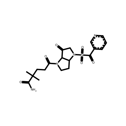 CC(C)(C[CH]C(=O)N1CCC2C1C(=O)CN2S(=O)(=O)C(=O)c1cccnc1)C(N)=O